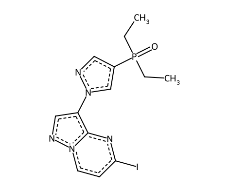 CCP(=O)(CC)c1cnn(-c2cnn3ccc(I)nc23)c1